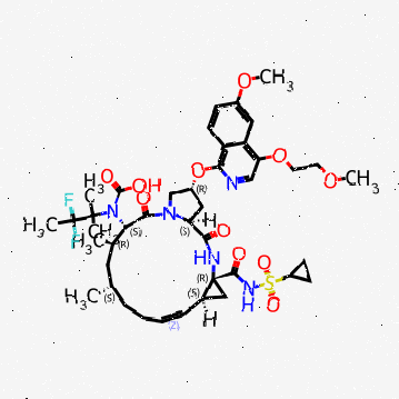 COCCOc1cnc(O[C@@H]2C[C@H]3C(=O)N[C@]4(C(=O)NS(=O)(=O)C5CC5)C[C@H]4/C=C\CC[C@H](C)C[C@@H](C)[C@H](N(C(=O)O)C(C)(C)C(C)(F)F)C(=O)N3C2)c2ccc(OC)cc12